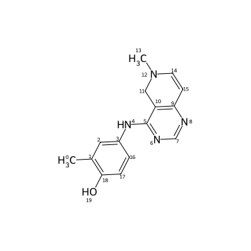 Cc1cc(Nc2ncnc3c2CN(C)C=C3)ccc1O